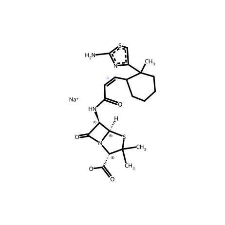 CC1(c2csc(N)n2)CCCCC1/C=C\C(=O)N[C@@H]1C(=O)N2[C@@H]1SC(C)(C)[C@@H]2C(=O)[O-].[Na+]